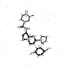 C[C@H]1CN(C(=O)Nc2cnn3ccc(N4CCC[C@@H]4c4cc(F)ccc4F)nc23)CCN1